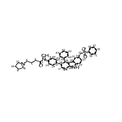 CN(C(=O)CCCN1CCCC1)c1ccc(-c2cnc3[nH]c4ccc(CS(=O)(=O)c5ccccc5)cc4c3c2-c2ccccc2)cc1